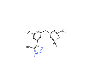 N#Cc1[nH]nnc1-c1cc(Cc2cc(C(F)(F)F)cc(C(F)(F)F)c2)cc(C(F)(F)F)c1